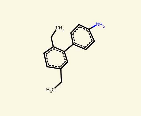 CCc1ccc(CC)c(-c2ccc(N)cc2)c1